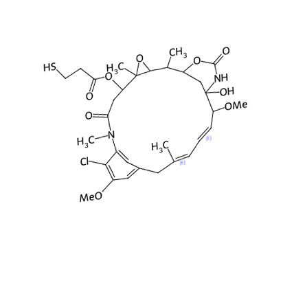 COc1cc2cc(c1Cl)N(C)C(=O)CC(OC(=O)CCS)C1(C)OC1C(C)C1CC(O)(NC(=O)O1)C(OC)/C=C/C=C(\C)C2